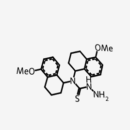 COc1cccc2c1CCCC2N(C(=S)NN)C1CCCc2c(OC)cccc21